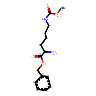 CC(C)(C)OC(=O)NCCCCC(N)C(=O)OCc1ccccc1